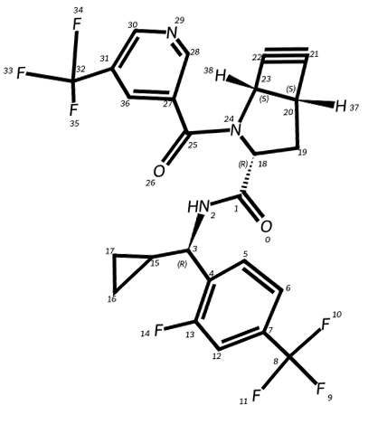 O=C(N[C@@H](c1ccc(C(F)(F)F)cc1F)C1CC1)[C@H]1C[C@H]2C#C[C@H]2N1C(=O)c1cncc(C(F)(F)F)c1